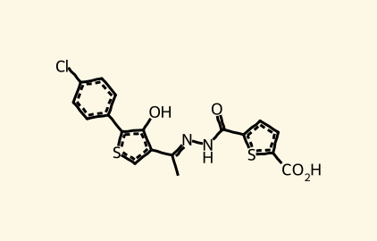 CC(=NNC(=O)c1ccc(C(=O)O)s1)c1csc(-c2ccc(Cl)cc2)c1O